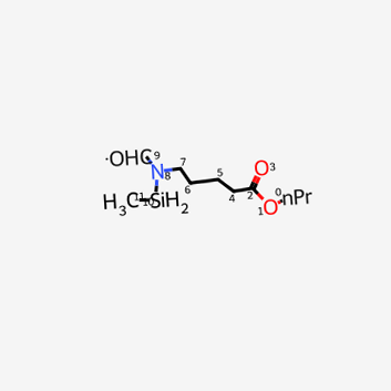 CCCOC(=O)CCCCN([C]=O)[SiH2]C